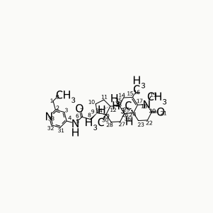 CCc1cc(NC(=O)C[C@H]2CC[C@H]3[C@@H]4CC(C)=C5N(C)C(=O)CC[C@]5(C)[C@H]4CC[C@]23C)ccn1